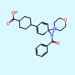 O=C(O)C1CCC(C2=CC[C@]3(C=C2)N(C(=O)c2ccccc2)[N+]32CCOCC2)CC1